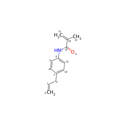 C=CCc1ccc(NC(=O)C(=C)C)cc1